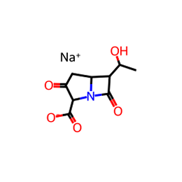 CC(O)C1C(=O)N2C(C(=O)[O-])C(=O)CC12.[Na+]